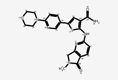 CN1Cc2nc(Nc3sc(-c4ccc(N5CCOCC5)nc4)cc3C(N)=O)ccc2C1=O